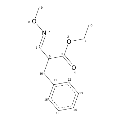 CCOC(=O)C(C=NOC)Cc1ccccc1